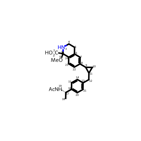 COC1(C(=O)O)NCCc2cc(C3CC3Cc3ccc([C@H](C)NC(C)=O)cc3)ccc21